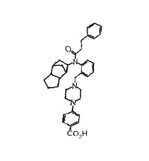 O=C(O)c1ccc(N2CCN(Cc3ccccc3N(C(=O)CCc3ccccc3)C3CC4CC3C3CCCC43)CC2)cc1